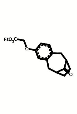 CCOC(=O)COc1ccc2c(c1)CC1CCC(C2)C1=O